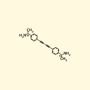 C[C@H](N)c1ccc(C#CC#Cc2ccc([C@H](C)N)cc2)cc1